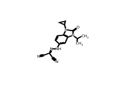 CC(C)n1c(=O)n(C2CC2)c2ccc(NN=C(C#N)C#N)cc21